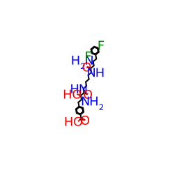 NC(CC(=O)NCCCCNC(=O)C(O)C(N)Cc1ccc(C(=O)O)cc1)Cc1cc(F)ccc1F